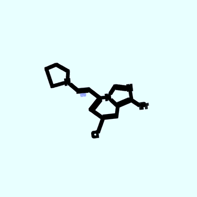 CC(C)c1ncn2c(/C=C/N3CCCC3)cc(Cl)cc12